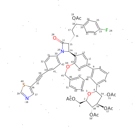 CC(=O)OC[C@H]1OC(c2cccc(-c3ccc([C@@H]4[C@@H](CC[C@H](OC(C)=O)c5ccc(F)cc5)C(=O)N4c4ccc(C#Cc5cncs5)cc4)c(OCc4ccccc4)c3)c2)[C@H](OC(C)=O)[C@@H](OC(C)=O)[C@@H]1OC(C)=O